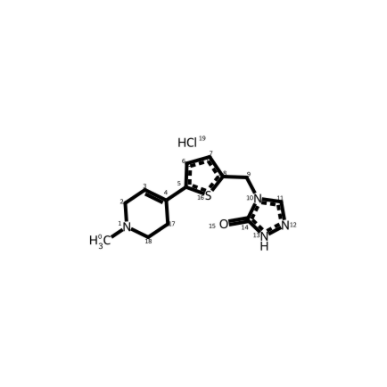 CN1CC=C(c2ccc(Cn3cn[nH]c3=O)s2)CC1.Cl